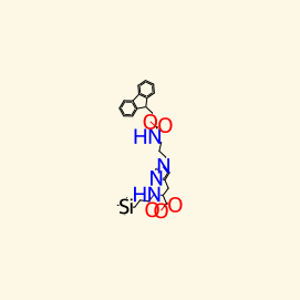 COC(=O)C(Cc1cn(CCCNC(=O)OCC2c3ccccc3-c3ccccc32)cn1)NC(=O)CC[Si](C)(C)C